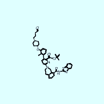 Cc1c(O[C@H]2CC[C@H](CCCC=O)CC2)cccc1-c1ccc(N2CCc3cccc(C(=O)Nc4nc5ccccc5s4)c3C2)nc1C(=O)OC(C)(C)C